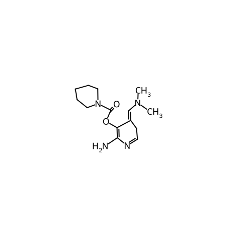 CN(C)C=C1CC=NC(N)=C1OC(=O)N1CCCCC1